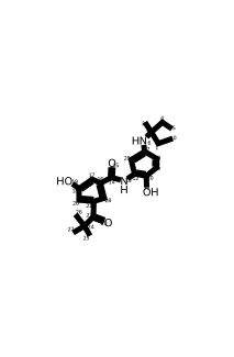 CCC(C)(CC)Nc1ccc(O)c(NC(=O)c2cc(O)cc(C(=O)C(C)(C)C)c2)c1